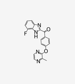 Cc1nccnc1Oc1ccc(C(=O)c2nc3cccc(F)c3[nH]2)cc1